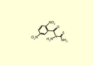 NC(=S)N(N)C(=O)c1cc([N+](=O)[O-])ccc1[N+](=O)[O-]